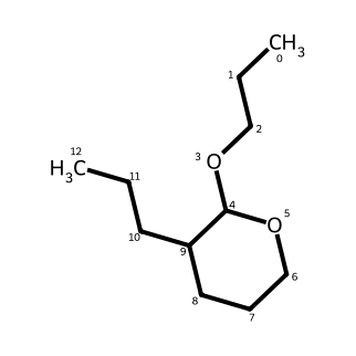 CCCOC1OCCCC1CCC